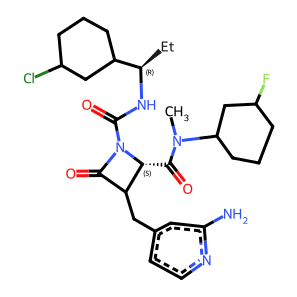 CC[C@@H](NC(=O)N1C(=O)C(Cc2ccnc(N)c2)[C@H]1C(=O)N(C)C1CCCC(F)C1)C1CCCC(Cl)C1